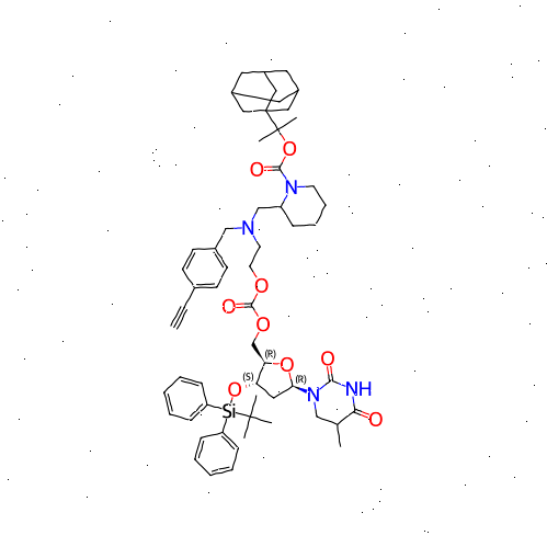 C#Cc1ccc(CN(CCOC(=O)OC[C@H]2O[C@@H](N3CC(C)C(=O)NC3=O)C[C@@H]2O[Si](c2ccccc2)(c2ccccc2)C(C)(C)C)CC2CCCCN2C(=O)OC(C)(C)C23CC4CC(CC(C4)C2)C3)cc1